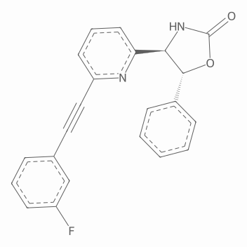 O=C1N[C@H](c2cccc(C#Cc3cccc(F)c3)n2)[C@@H](c2ccccc2)O1